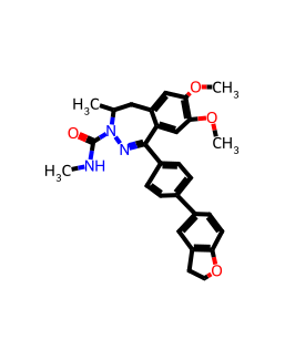 CNC(=O)N1N=C(c2ccc(-c3ccc4c(c3)CCO4)cc2)c2cc(OC)c(OC)cc2CC1C